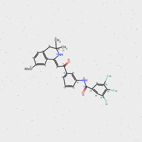 COc1ccc2c(c1)C(=CC(=O)c1cccc(NC(=O)c3cc(F)c(F)c(F)c3)c1)NC(C)(C)C2